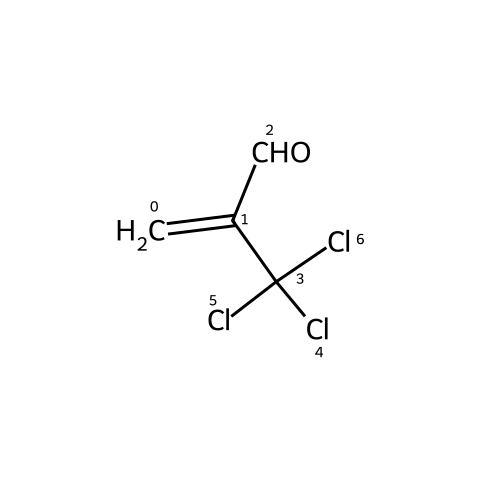 C=C(C=O)C(Cl)(Cl)Cl